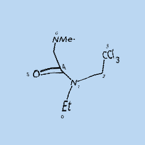 CCN(CC(Cl)(Cl)Cl)C(=O)[N]C